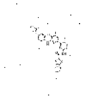 CC(C)N(C)Cc1ccc(Nc2nc(-c3nc(NC(=O)c4cc5c(s4)C4CCC5C4)ccc3F)cn(C)c2=O)cc1